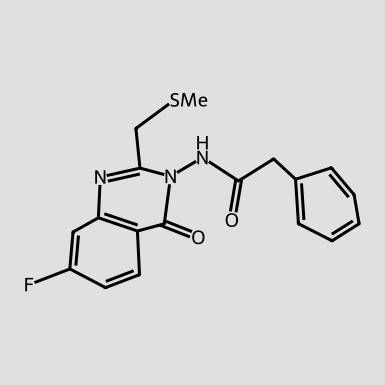 CSCc1nc2cc(F)ccc2c(=O)n1NC(=O)Cc1ccccc1